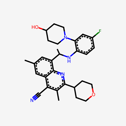 Cc1cc(C(C)Nc2ccc(F)cc2N2CCC(O)CC2)c2nc(C3CCOCC3)c(C)c(C#N)c2c1